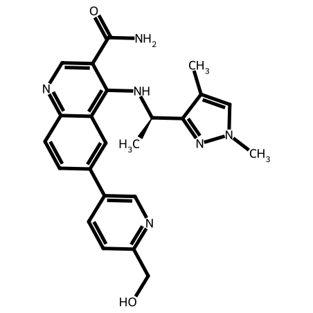 Cc1cn(C)nc1[C@@H](C)Nc1c(C(N)=O)cnc2ccc(-c3ccc(CO)nc3)cc12